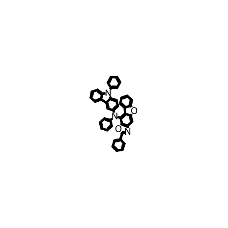 c1ccc(-c2nc3cc4oc5ccccc5c4c(N(c4ccccc4)c4ccc5c(c4)c4ccccc4n5-c4ccccc4)c3o2)cc1